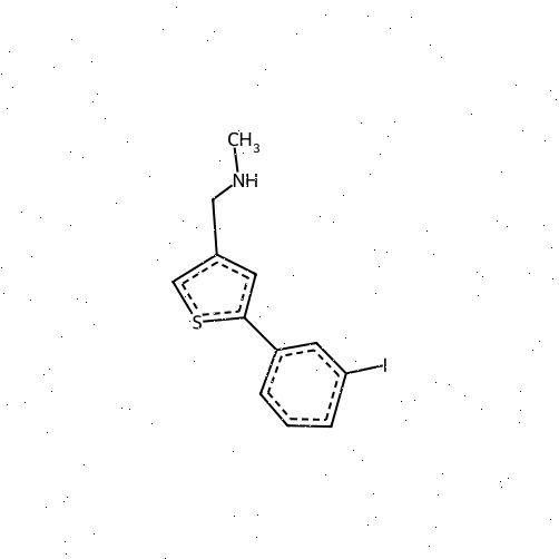 CNCc1csc(-c2cccc(I)c2)c1